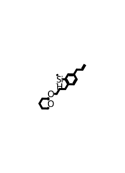 C=CCc1ccc(CCCOC2CCCCO2)c([SiH](C)C)c1